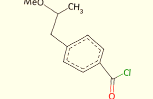 COC(C)Cc1ccc(C(=O)Cl)cc1